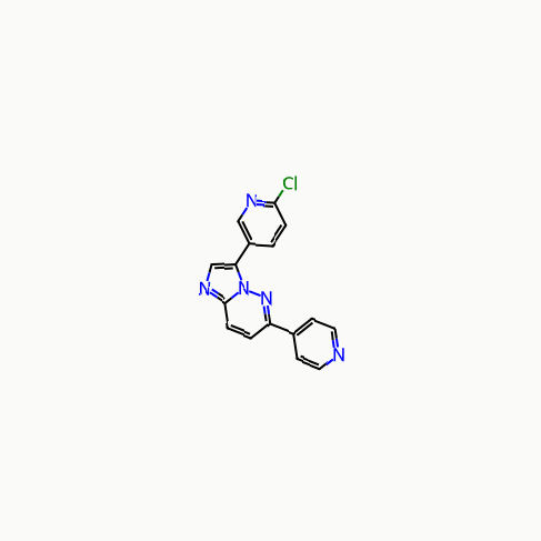 Clc1ccc(-c2cnc3ccc(-c4ccncc4)nn23)cn1